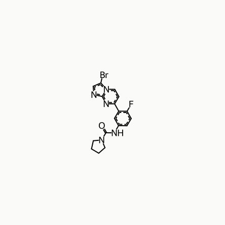 O=C(Nc1ccc(F)c(-c2ccn3c(Br)cnc3n2)c1)N1CCCC1